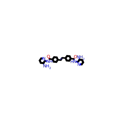 Nc1cccnc1NC(=O)c1ccc(/C=C/c2ccc(C(=O)Nc3ncccc3N)cc2)cc1